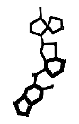 CN1CC[C@@H](C2Cc3c(Nc4cc5ncsc5cc4F)ccnc3S2)[C@@]12CCOC2